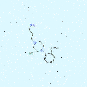 COc1ccccc1N1CCN(CCCN)CC1.Cl